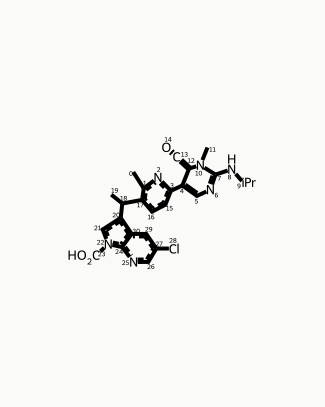 Cc1nc(C2=CN=C(NC(C)C)N(C)C2=C=O)ccc1C(C)c1cn(C(=O)O)c2ncc(Cl)cc12